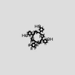 Oc1cccc(C2=C3C=CC(=N3)C(c3cccc(O)c3)=C3C=CC(=N3)C(c3c(F)c(F)c(F)c(F)c3F)=C3C=CC(=N3)C(c3cccc(O)c3)=C3C=CC2=N3)c1